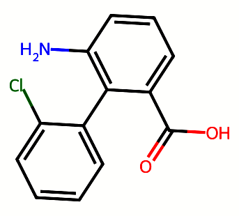 Nc1cccc(C(=O)O)c1-c1ccccc1Cl